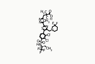 CC[C@H](NS(=O)(=O)c1ccc(-c2sc(-c3nnc(CC(C)(C)C(=O)O)o3)nc2CN2CCCC(F)(F)C2)c(Cl)c1Cl)C(F)(F)F